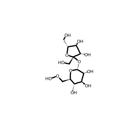 OC[C@H]1O[C@@](CO)(O[C@H]2O[C@H](COO)[C@@H](O)[C@H](O)[C@H]2O)[C@@H](O)[C@@H]1O